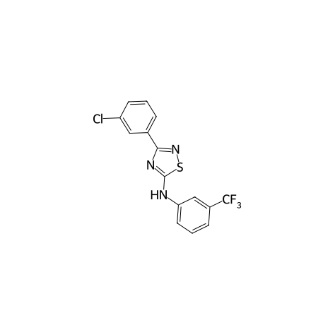 FC(F)(F)c1cccc(Nc2nc(-c3cccc(Cl)c3)ns2)c1